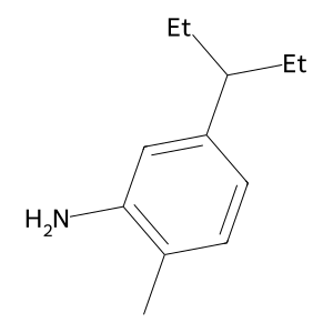 CCC(CC)c1ccc(C)c(N)c1